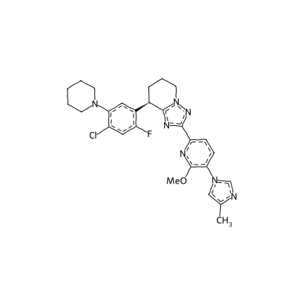 COc1nc(-c2nc3n(n2)CCC[C@@H]3c2cc(N3CCCCC3)c(Cl)cc2F)ccc1-n1cnc(C)c1